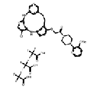 COc1cccnc1N1CCN(C(=O)COc2ccc3cc2CCc2cncc(c2)Nc2ncc(Cl)c(n2)N3)CC1.O=C(O)C(F)(F)F.O=C(O)C(F)(F)F.O=C(O)C(F)(F)F